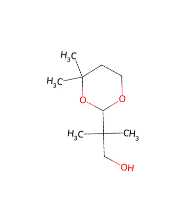 CC1(C)CCOC(C(C)(C)CO)O1